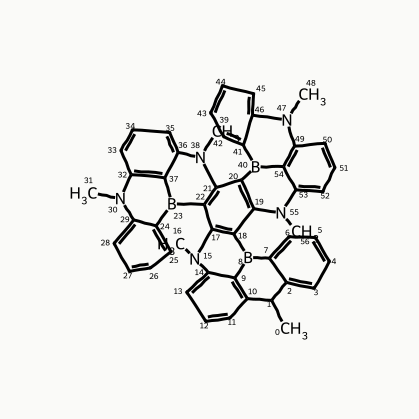 CC1c2ccccc2B2c3c1cccc3N(C)c1c2c2c(c3c1B1c4ccccc4N(C)c4cccc(c41)N3C)B1c3ccccc3N(C)c3cccc(c31)N2C